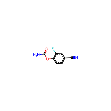 N#Cc1ccc(OC(N)=O)c(F)c1